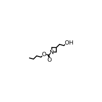 CCCCOC(=O)N1CC(CCO)C1